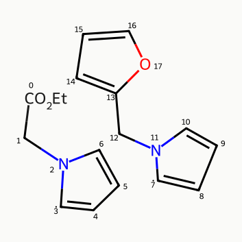 CCOC(=O)Cn1[c]ccc1.[c]1cccn1Cc1ccco1